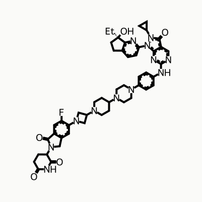 CC[C@@]1(O)CCc2ccc(-n3c4nc(Nc5ccc(N6CCN(C7CCN(C8CN(c9cc%10c(cc9F)C(=O)N(C9CCC(=O)NC9=O)C%10)C8)CC7)CC6)cc5)ncc4c(=O)n3C3CC3)nc21